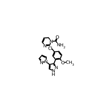 COc1ccc(Cl)cc1-c1n[nH]cc1-n1cccn1.NC(=O)N1C=NC=CC1